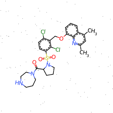 Cc1cc(C)c2cccc(OCc3c(Cl)ccc(S(=O)(=O)N4CCCC4C(=O)N4CCCNCC4)c3Cl)c2n1